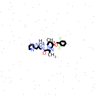 Cc1cc(OCc2c(F)cccc2F)c2nc(C)c(C(=O)NCC(C)(N)Cc3ccccn3)n2c1